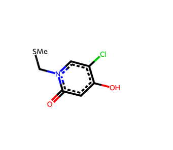 CSCn1cc(Cl)c(O)cc1=O